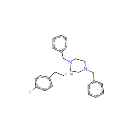 Fc1ccc(CC[C@H]2CN(Cc3ccccc3)CCN2Cc2ccccc2)cc1